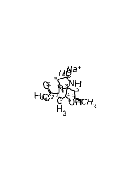 C=CCC1(C(C)O)NCCN1CC(=O)O.[Na+].[OH-]